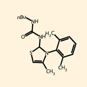 CCCCNC(=O)NC1SC=C(C)N1c1c(C)cccc1C